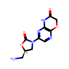 NC[C@@H]1CN(c2cnc3c(n2)NC(=O)CO3)C(=O)O1